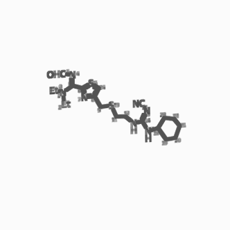 CCN(CC)C(=NC=O)c1nc(CSCCNC(=NC#N)NC2CCCCC2)cs1